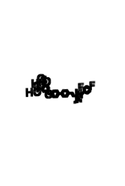 CCn1cc(-c2ccc(F)cc2F)nc1C=Cc1ccc(-c2ccc(Oc3ccc(NS(C)(=O)=O)c(C(=O)O)c3)cc2)cc1